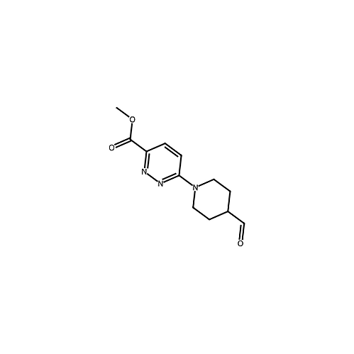 COC(=O)c1ccc(N2CCC(C=O)CC2)nn1